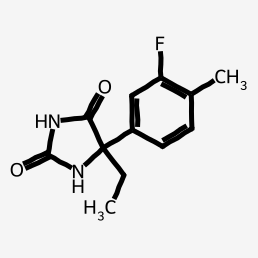 CCC1(c2ccc(C)c(F)c2)NC(=O)NC1=O